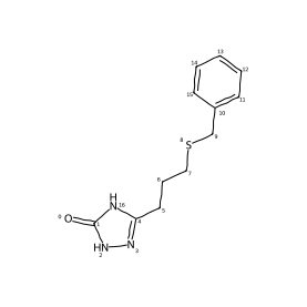 O=c1[nH]nc(CCCSCc2ccccc2)[nH]1